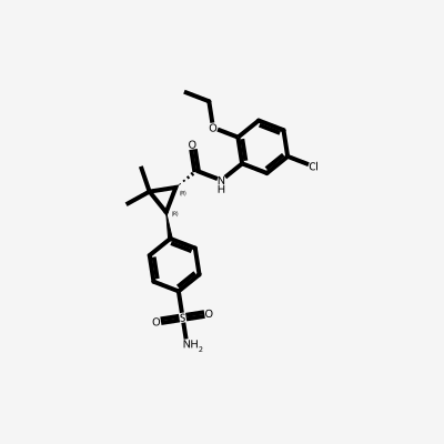 CCOc1ccc(Cl)cc1NC(=O)[C@@H]1[C@@H](c2ccc(S(N)(=O)=O)cc2)C1(C)C